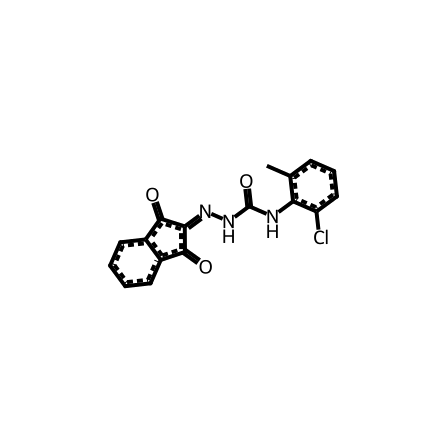 Cc1cccc(Cl)c1NC(=O)NN=c1c(=O)c2ccccc2c1=O